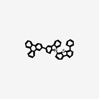 c1ccc(-c2cccc3c2sc2c(-n4c5ccccc5c5cc(-c6ccc7c8ccccc8c8ccccc8c7c6)ccc54)cccc23)cc1